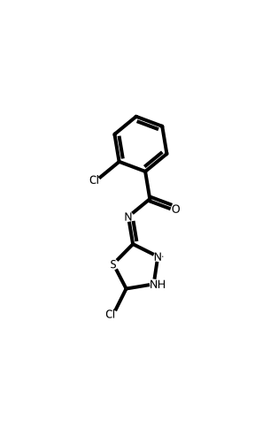 O=C(N=C1[N]NC(Cl)S1)c1ccccc1Cl